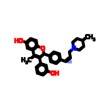 CC1=C(c2cccc(O)c2)C(c2ccc(/C=C\CN3CCC(C)CC3)cc2)Oc2ccc(O)cc21